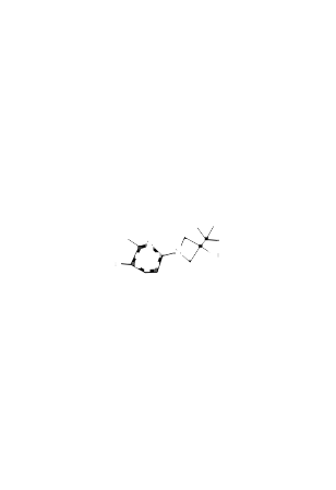 Cc1nc(N2CC(O)(C(F)(F)F)C2)ccc1Br